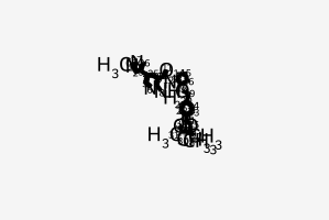 Cn1cc(-c2cnc(N)c(C(=O)N[C@H]3CCC[C@@H]3OCc3ccc(B4OC(C)(C)C(C)(C)O4)cc3)c2)cn1